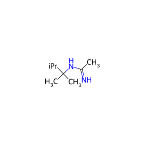 CC(=N)NC(C)(C)C(C)C